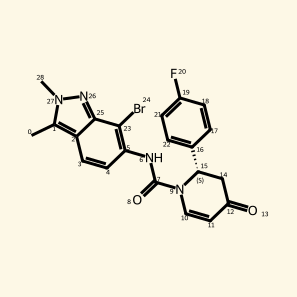 Cc1c2ccc(NC(=O)N3C=CC(=O)C[C@H]3c3ccc(F)cc3)c(Br)c2nn1C